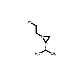 CC(C)[C@H]1CN1CCO